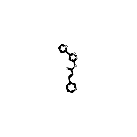 O=C(C=Cc1cccnc1)Nc1cc(-c2ccco2)on1